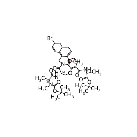 COc1ccc2cc(Br)ccc2c1CN1C(=O)[C@@H](NC(=O)[C@H](C)N(C)C(=O)OC(C)(C)C)COc2c(C(=O)NC(C)C(=O)OC(C)(C)C)cccc21